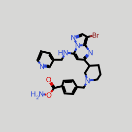 NOC(=O)c1ccc(CN2CCCC(c3cc(NCc4cccnc4)n4ncc(Br)c4n3)C2)cc1